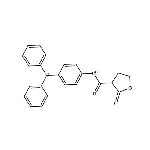 O=C(Nc1ccc([S+](c2ccccc2)c2ccccc2)cc1)C1CCOC1=O